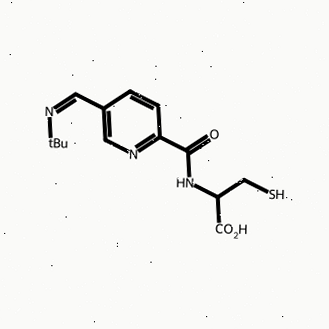 CC(C)(C)/N=C\c1ccc(C(=O)NC(CS)C(=O)O)nc1